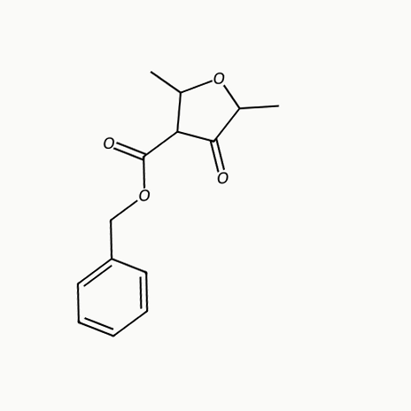 CC1OC(C)C(C(=O)OCc2ccccc2)C1=O